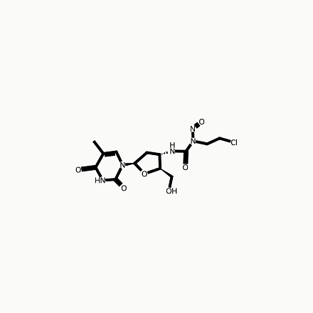 Cc1cn([C@H]2C[C@H](NC(=O)N(CCCl)N=O)[C@@H](CO)O2)c(=O)[nH]c1=O